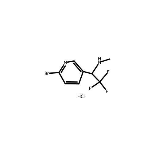 CNC(c1ccc(Br)nc1)C(F)(F)F.Cl